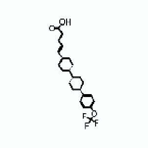 O=C(O)CCC=C[C@H]1CC[C@H]([C@H]2CC[C@H](c3ccc(OC(F)(F)F)cc3)CC2)CC1